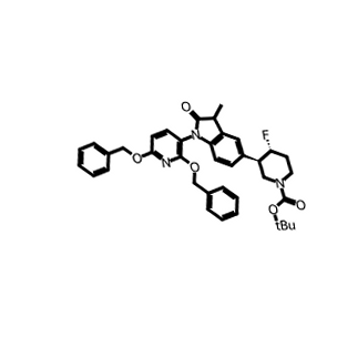 CC1C(=O)N(c2ccc(OCc3ccccc3)nc2OCc2ccccc2)c2ccc([C@@H]3CN(C(=O)OC(C)(C)C)CC[C@H]3F)cc21